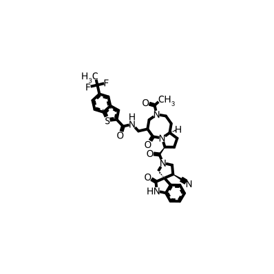 CC(=O)N1CC[C@H]2CC[C@@H](C(=O)N3C[C@@H](C#N)[C@]4(C3)C(=O)Nc3ccccc34)N2C(=O)C(CNC(=O)c2cc3cc(C(C)(F)F)ccc3s2)C1